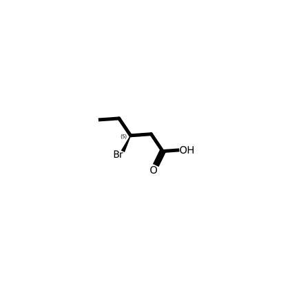 CC[C@H](Br)CC(=O)O